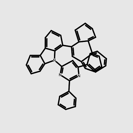 c1ccc(-c2cc(-n3c4ccccc4c4cccc(-c5cc6ccccc6c6ccccc56)c43)nc(-c3ccccc3)n2)cc1